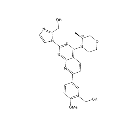 COc1ccc(-c2ccc3c(N4CCOC[C@@H]4C)nc(-n4ccnc4CO)nc3n2)cc1CO